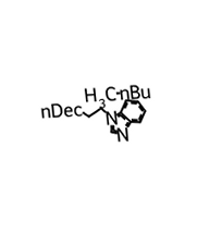 CCCCC.CCCCCCCCCCCCn1cnc2ccccc21